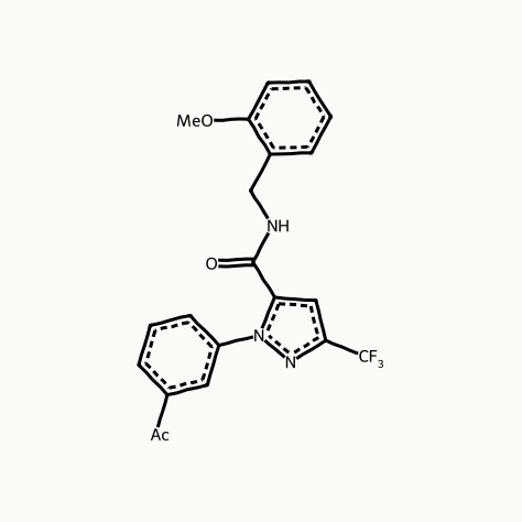 COc1ccccc1CNC(=O)c1cc(C(F)(F)F)nn1-c1cccc(C(C)=O)c1